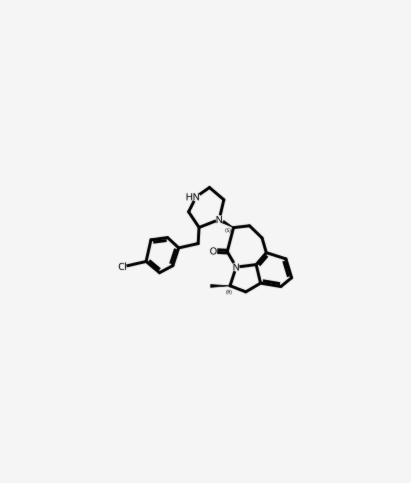 C[C@@H]1Cc2cccc3c2N1C(=O)[C@@H](N1CCNCC1Cc1ccc(Cl)cc1)CC3